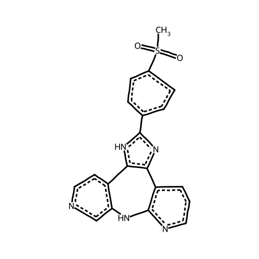 CS(=O)(=O)c1ccc(-c2nc3c([nH]2)-c2ccncc2Nc2ncccc2-3)cc1